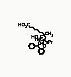 CCCC(C)(CC(C)(CCCCCCC(=O)O)C(=O)O)C(=O)OC(c1ccccc1)c1ccccc1